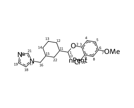 CCCCCC(Oc1ccc(OC)cc1Cl)C1CCCC(Cn2ccnc2)C1